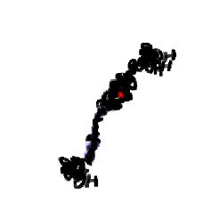 CC(=O)OC1CC(C)(C)C(=C=C/C=C/C=C/C(C)=C/C=C/C=C(C)/C=C/C=C(\C)C(=O)CC23OC2(C)CC(OC(=O)CCC(=O)OC[C@H](O)[C@H]2OC(=O)C(O)=C2O)CC3(C)C)[C@@](C)(O)C1